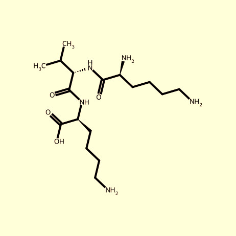 CC(C)[C@H](NC(=O)[C@@H](N)CCCCN)C(=O)N[C@@H](CCCCN)C(=O)O